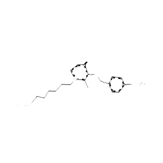 CCCCCCCCCCCCCCCCn1ccc(=O)c(OCc2ccc(OC)cc2)c1C